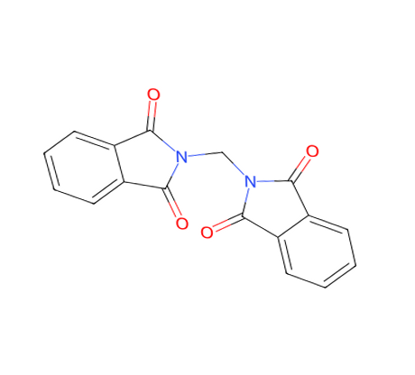 O=C1c2ccccc2C(=O)N1CN1C(=O)c2ccccc2C1=O